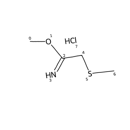 COC(=N)CSC.Cl